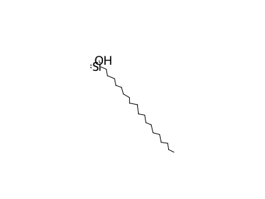 CCCCCCCCCCCCCCCCCCC[Si]O